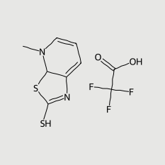 CN1C=CC=C2N=C(S)SC21.O=C(O)C(F)(F)F